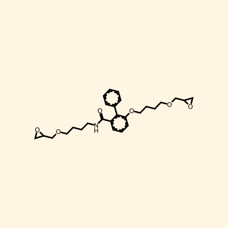 O=C(NCCCCOCC1CO1)c1cccc(OCCCCOCC2CO2)c1-c1ccccc1